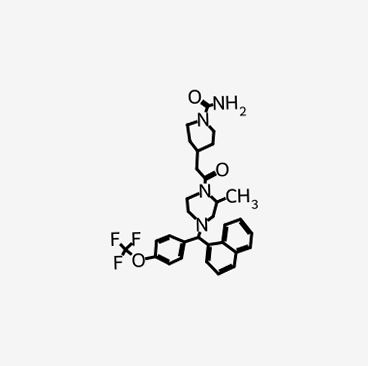 CC1CN(C(c2ccc(OC(F)(F)F)cc2)c2cccc3ccccc23)CCN1C(=O)CC1CCN(C(N)=O)CC1